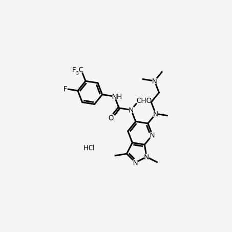 Cc1nn(C)c2nc(N(C)CCN(C)C)c(N(C=O)C(=O)Nc3ccc(F)c(C(F)(F)F)c3)cc12.Cl